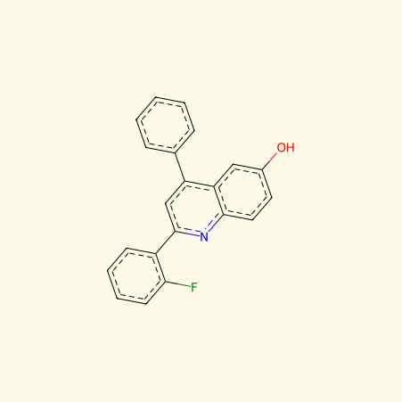 Oc1ccc2nc(-c3ccccc3F)cc(-c3ccccc3)c2c1